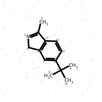 CC1=NCc2cc(C(C)(C)C)ccc21